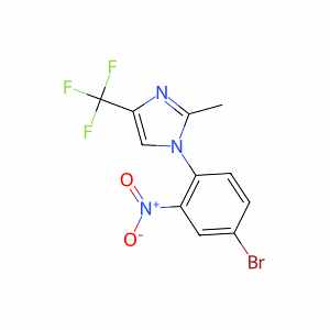 Cc1nc(C(F)(F)F)cn1-c1ccc(Br)cc1[N+](=O)[O-]